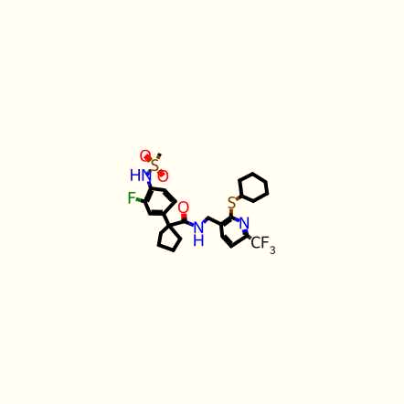 CS(=O)(=O)Nc1ccc(C2(C(=O)NCc3ccc(C(F)(F)F)nc3SC3CCCCC3)CCCC2)cc1F